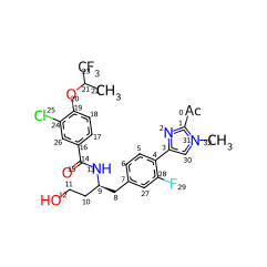 CC(=O)c1nc(-c2ccc(C[C@@H](CCO)NC(=O)c3ccc(OC(C)C(F)(F)F)c(Cl)c3)cc2F)cn1C